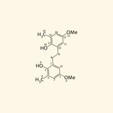 COc1cc(C)c(O)c(CCc2cc(OC)cc(C)c2O)c1